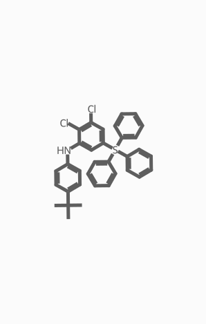 CC(C)(C)c1ccc(Nc2cc(S(c3ccccc3)(c3ccccc3)c3ccccc3)cc(Cl)c2Cl)cc1